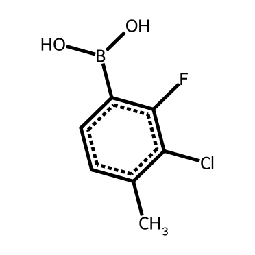 Cc1ccc(B(O)O)c(F)c1Cl